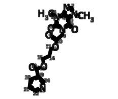 Cn1cnc2c1c(=O)n(CC(=O)OCCCOC(=O)c1cccnc1)c(=O)n2C